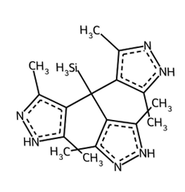 Cc1n[nH]c(C)c1C([SiH3])(c1c(C)n[nH]c1C)c1c(C)n[nH]c1C